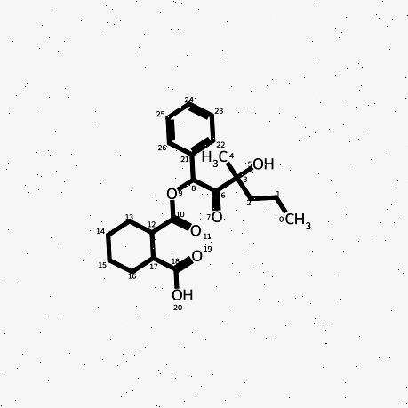 CCCC(C)(O)C(=O)C(OC(=O)C1CCCCC1C(=O)O)c1ccccc1